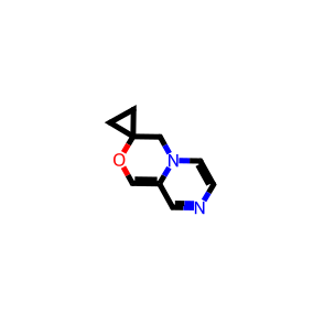 C1=CN2CC3(CC3)OC=C2C=N1